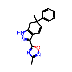 Cc1noc(-c2n[nH]c3c2C=CC(C)(c2ccccc2)C3)n1